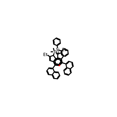 CCC1=Cc2c(-c3cccc4ccccc34)cccc2[CH]1[Ti]([CH3])([CH3])([CH]1C(CC)=Cc2c(-c3cccc4ccccc34)cccc21)[SiH](c1ccccc1)c1ccccc1